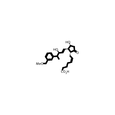 COCc1cccc(C(C)[C@@H](O)/C=C/[C@H]2[C@H](O)CC(=O)[C@@H]2C/C=C\CCCC(=O)O)c1